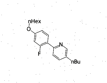 CCCCCCOc1ccc(-c2ccc(CCCC)cn2)c(F)c1